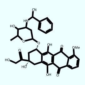 COc1cccc2c1C(=O)c1c(O)c3c(c(O)c1C2=O)C[C@@](O)(C(=O)CO)C[C@@H]3OC1CC(NC(C#N)c2ccccc2)C(O)C(C)O1